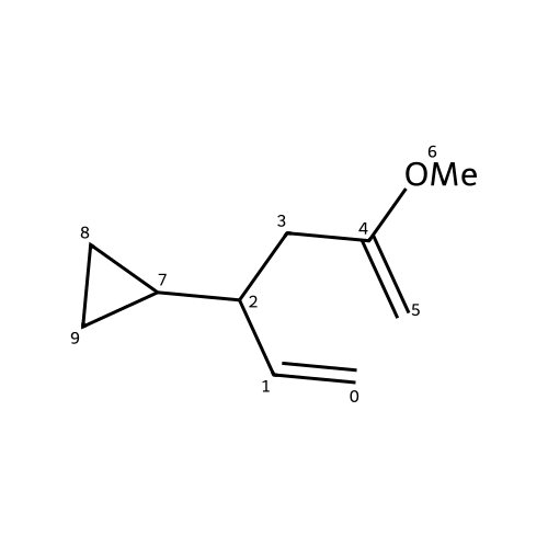 C=CC(CC(=C)OC)C1CC1